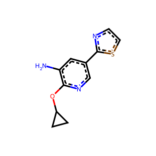 Nc1cc(-c2nccs2)cnc1OC1CC1